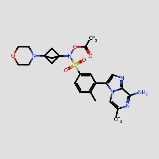 Cc1ccc(S(=O)(=O)N(OC(=O)C(F)(F)F)C23CC(N4CCOCC4)(C2)C3)cc1-c1cnc2c(N)nc(C(F)(F)F)cn12